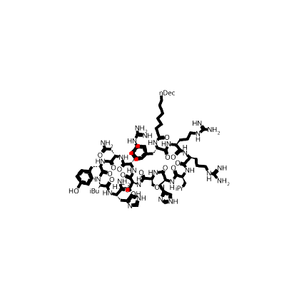 CCCCCCCCCCCCCCCCC(=O)N[C@@H](Cc1ccccc1)C(=O)N[C@@H](CCCNC(=N)N)C(=O)N[C@@H](CCCNC(=N)N)C(=O)N[C@@H](CC(C)C)C(=O)N[C@@H](Cc1c[nH]cn1)C(=O)N[C@@H](CO)C(=O)N[C@H](C(=O)N[C@@H](CCCNC(=N)N)C(=O)N[C@@H](CC(N)=O)C(=O)N[C@@H](Cc1ccc(O)cc1)C(=O)N[C@H](C(=O)N[C@@H](Cc1c[nH]cn1)C(N)=O)[C@@H](C)CC)[C@@H](C)O